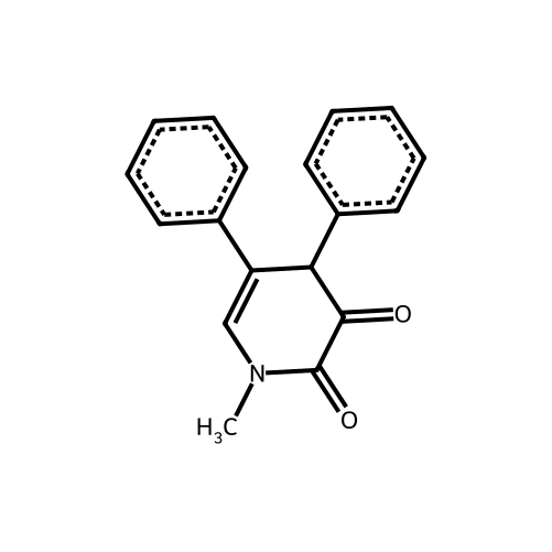 CN1C=C(c2ccccc2)C(c2ccccc2)C(=O)C1=O